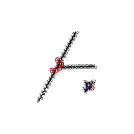 CCCCCCCCCCCCCCCCCC(=O)OCC(COC(=O)CCCCCCCCCCCCCCCCC)OC(=O)CCCCCCCCCCCCCCCCC.CCSC(=O)N(CC(C)C)CC(C)C